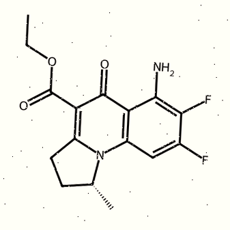 CCOC(=O)c1c2n(c3cc(F)c(F)c(N)c3c1=O)[C@H](C)CC2